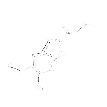 CCOC(=O)c1cc2cc(OC)c(N)cc2[nH]1